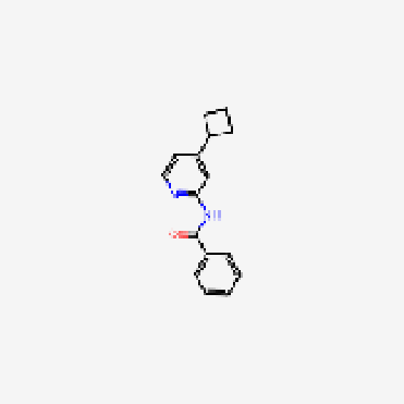 O=C(Nc1cc(C2CCC2)ccn1)c1ccccc1